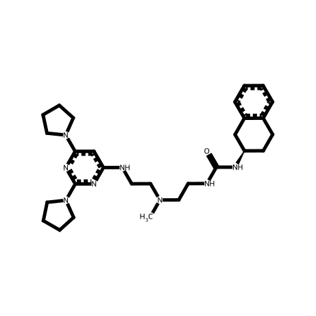 CN(CCNC(=O)N[C@@H]1CCc2ccccc2C1)CCNc1cc(N2CCCC2)nc(N2CCCC2)n1